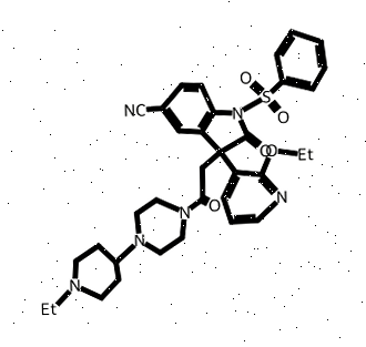 CCOc1ncccc1C1(CC(=O)N2CCN(C3CCN(CC)CC3)CC2)C(=O)N(S(=O)(=O)c2ccccc2)c2ccc(C#N)cc21